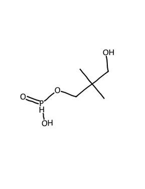 CC(C)(CO)CO[PH](=O)O